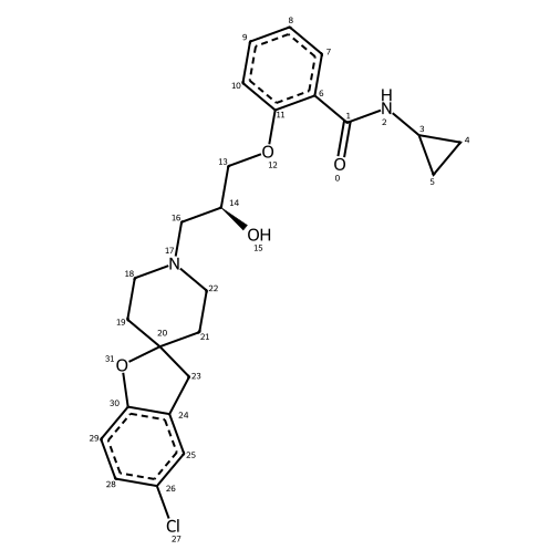 O=C(NC1CC1)c1ccccc1OC[C@@H](O)CN1CCC2(CC1)Cc1cc(Cl)ccc1O2